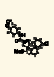 CSCC1(c2ccccc2)CN(C(=O)Nc2ccc(OC(F)(F)F)cc2)N=C1c1ccc(Cl)cc1